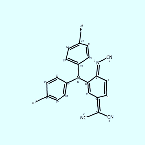 N#C/N=C1\C=CC(=C(C#N)C#N)C=C1N(c1ccc(F)cc1)c1ccc(F)cc1